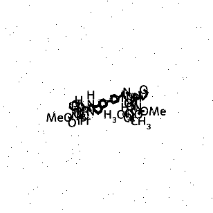 COC(=O)N[C@H](C(=O)N1[C@H](c2nc3ccc4cc(-c5ccc(-c6cnc([C@@H]7C[C@@]8(CCCOC8)CN7C(=O)[C@@H](NC(=O)OC)C7C[C@@H](C)O[C@H](C)C7)[nH]6)cc5)ccc4c3[nH]2)C[C@@H]2CCCC[C@@H]21)C(C)C